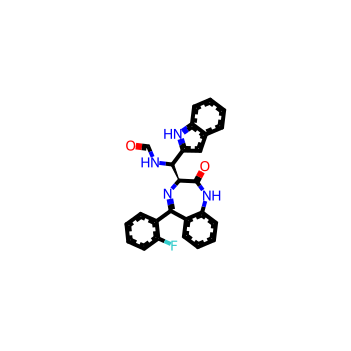 O=CNC(c1cc2ccccc2[nH]1)[C@@H]1N=C(c2ccccc2F)c2ccccc2NC1=O